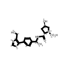 C[C@H](NC(=O)[C@@H]1C[C@@H](O)CN1C(=O)O)c1ccc(-c2scnc2CO)cc1